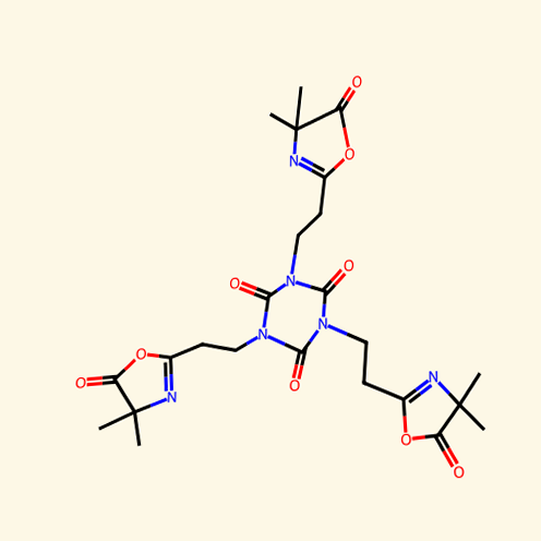 CC1(C)N=C(CCn2c(=O)n(CCC3=NC(C)(C)C(=O)O3)c(=O)n(CCC3=NC(C)(C)C(=O)O3)c2=O)OC1=O